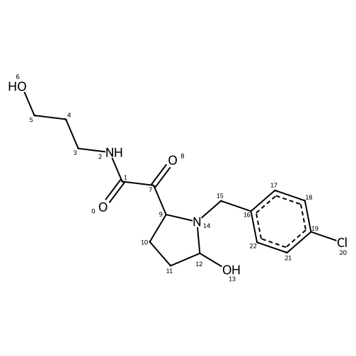 O=C(NCCCO)C(=O)C1CCC(O)N1Cc1ccc(Cl)cc1